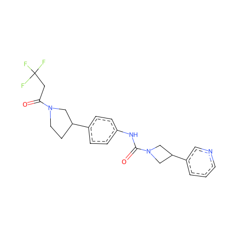 O=C(CC(F)(F)F)N1CCC(c2ccc(NC(=O)N3CC(c4cccnc4)C3)cc2)C1